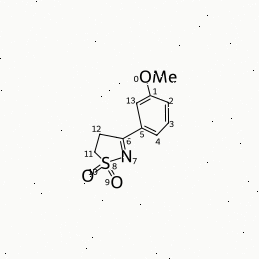 COc1cccc(C2=NS(=O)(=O)CC2)c1